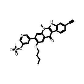 C#Cc1ccc2c(c1)[nH]c1c2c(=O)c2cc(OCCCC)c(-c3cncc(OS(=O)(=O)F)c3)cc2n1C